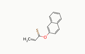 C=CC(=S)Oc1ccc2ccccc2c1